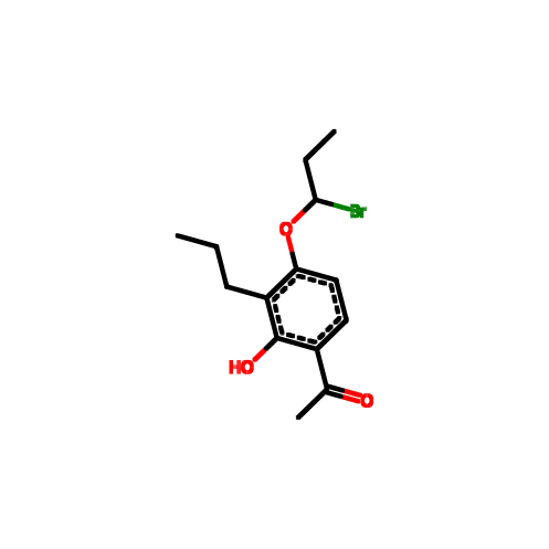 CCCc1c(OC(Br)CC)ccc(C(C)=O)c1O